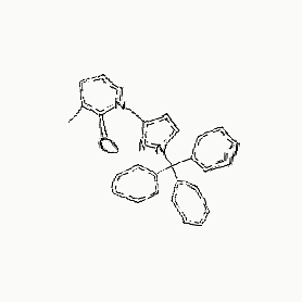 Cc1cccn(-c2ccn(C(c3ccccc3)(c3ccccc3)c3ccccc3)n2)c1=O